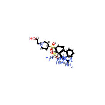 Nc1nc2cccc(-c3ccc(S(=O)(=O)C4CCN(CCO)CC4)c(S(N)(=O)=O)c3-c3nn[nH]n3)c2[nH]1